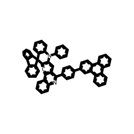 c1ccc(N2c3ccccc3C3(c4ccccc4-c4ccccc43)c3cc4c(cc32)c(-c2ccc(-c3ccc5c6ccccc6c6ccccc6c5c3)cc2)nc2ccccc24)cc1